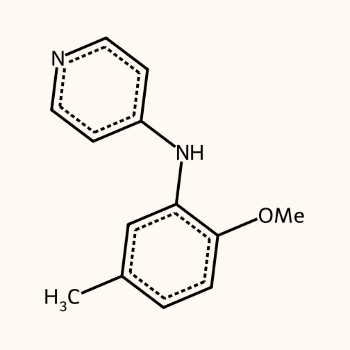 COc1ccc(C)cc1Nc1ccncc1